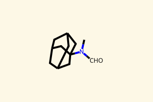 CN(C=O)C12CC3CC(CC(C3)C1)C2